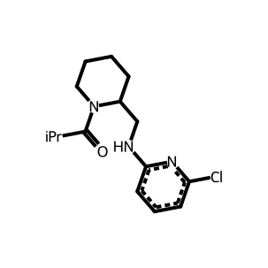 CC(C)C(=O)N1CCCCC1CNc1cccc(Cl)n1